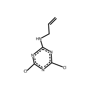 C=CCNc1nc(Cl)nc(Cl)n1